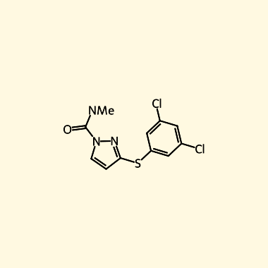 CNC(=O)n1ccc(Sc2cc(Cl)cc(Cl)c2)n1